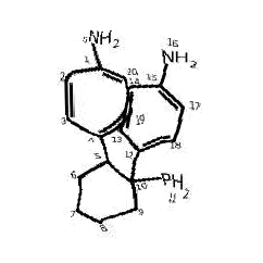 Nc1ccc(C2CCCCC2(P)c2ccc(N)cc2)cc1